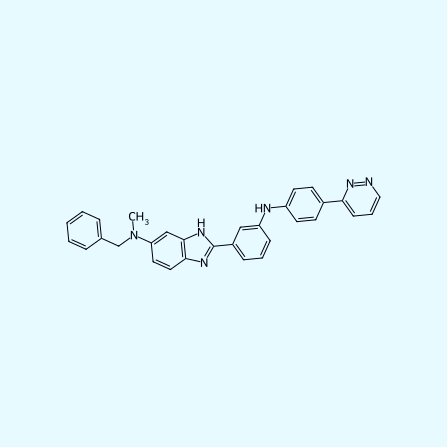 CN(Cc1ccccc1)c1ccc2nc(-c3cccc(Nc4ccc(-c5cccnn5)cc4)c3)[nH]c2c1